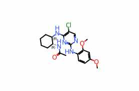 COc1ccc(Nc2ncc(Cl)c(N[C@@H]3CCCC[C@H]3NC(C)=O)n2)c(OC)c1